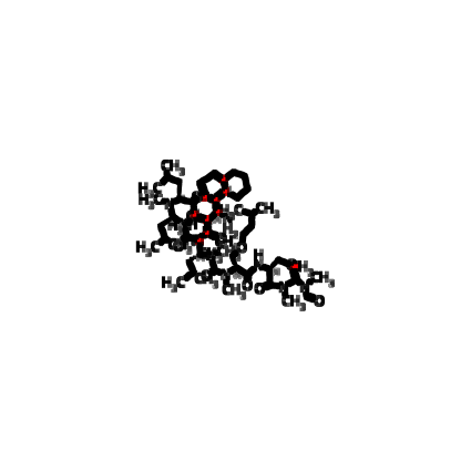 CC[C@H](NC(=O)[C@H](COCCC(C)C)N(C)C(=O)N(C)[C@H](CC(C)C)NC(=O)[C@H](Cc1ccccc1)N(C)C(=O)[C@H](CC(C)C)N(C)[C@H](CC(C)C)NC(=O)[C@H](C)N(C)C(=O)[C@H](N)C(=O)N1CCCCC1)C(=O)N(C)C(=O)N(C)C=O